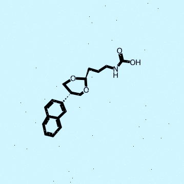 O=C(O)NCCC[C@H]1OC[C@H](c2ccc3ccccc3c2)CO1